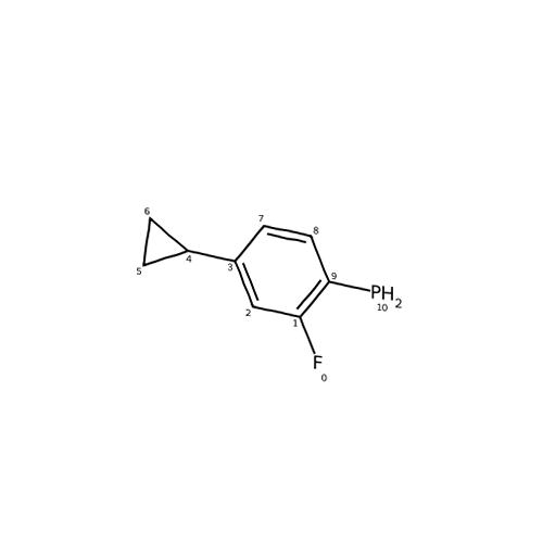 Fc1cc(C2CC2)ccc1P